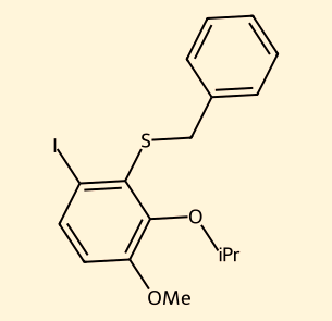 COc1ccc(I)c(SCc2ccccc2)c1OC(C)C